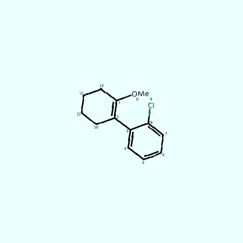 COC1=C(c2ccccc2Cl)CCCC1